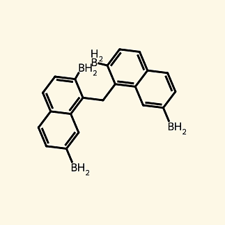 Bc1ccc2ccc(B)c(Cc3c(B)ccc4ccc(B)cc34)c2c1